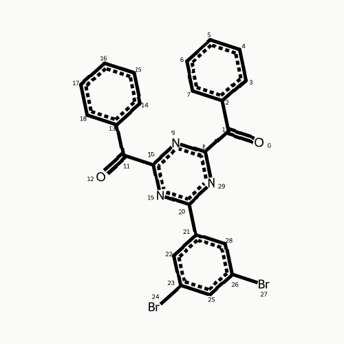 O=C(c1ccccc1)c1nc(C(=O)c2ccccc2)nc(-c2cc(Br)cc(Br)c2)n1